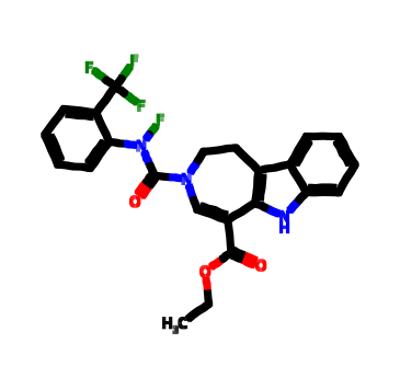 CCOC(=O)C1=CN(C(=O)N(F)c2ccccc2C(F)(F)F)CCc2c1[nH]c1ccccc21